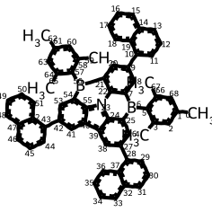 Cc1cc(C)c(B2c3cc(-c4cccc5ccccc45)cc4c3-n3c5c2cc(-c2cccc6ccccc26)cc5c2cc(-c5cccc6ccccc56)cc(c23)B4c2c(C)cc(C)cc2C)c(C)c1